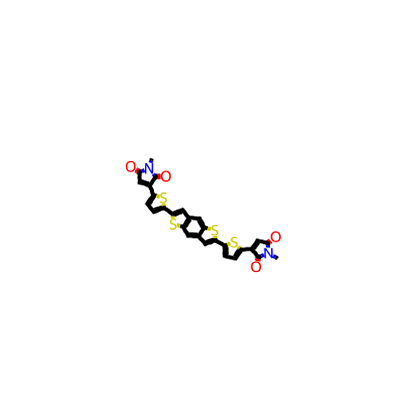 CN1C(=O)C=C(c2ccc(-c3cc4cc5sc(-c6ccc(C7=CC(=O)N(C)C7=O)s6)cc5cc4s3)s2)C1=O